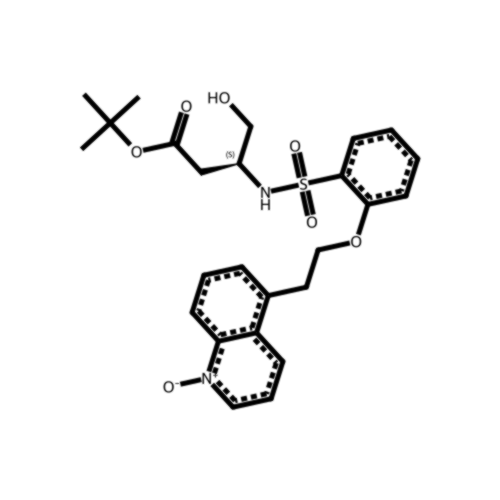 CC(C)(C)OC(=O)C[C@@H](CO)NS(=O)(=O)c1ccccc1OCCc1cccc2c1ccc[n+]2[O-]